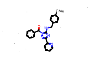 COc1ccc(CNc2nc(-c3ccccn3)nn2C(=O)c2ccccc2)cc1